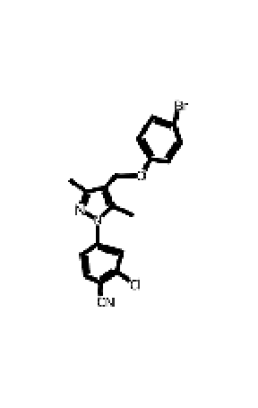 Cc1nn(-c2ccc(C#N)c(Cl)c2)c(C)c1COc1ccc(Br)cc1